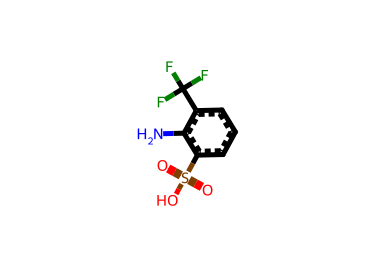 Nc1c(C(F)(F)F)cccc1S(=O)(=O)O